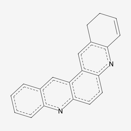 C1=Cc2nc3ccc4nc5ccccc5cc4c3cc2CC1